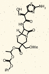 COCC1(C(=O)OC(C)OC(=O)OC(C)C)CS[C@@H]2C(NC(=O)C(=NO)c3csc(N)n3)C(=O)N2C1